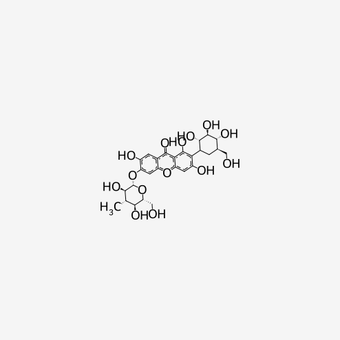 C[C@@H]1[C@@H](O)[C@H](Oc2cc3oc4cc(O)c(C5C[C@H](CO)[C@@H](O)[C@H](O)[C@H]5O)c(O)c4c(=O)c3cc2O)O[C@H](CO)[C@H]1O